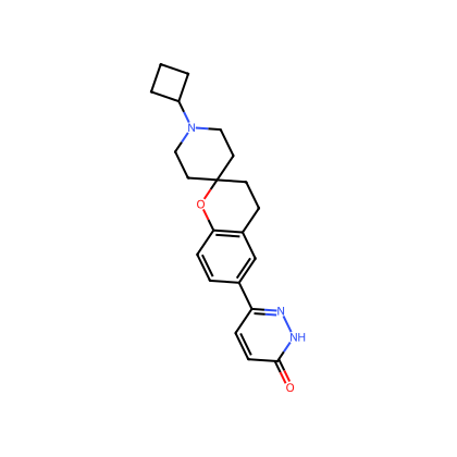 O=c1ccc(-c2ccc3c(c2)CCC2(CCN(C4CCC4)CC2)O3)n[nH]1